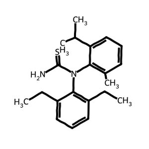 CCc1cccc(CC)c1N(C(N)=S)c1c(C)cccc1C(C)C